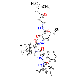 C=CCCC(NC(=O)[C@@H]1[C@@H]2[C@H](CN1C(=O)[C@@H](NC(=O)NC(C)(C)C)C1CCCCC1)C2(C)C)C(=O)C(=O)NCCC(=O)CC(C)C